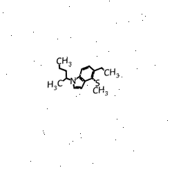 CCCC(C)n1ccc2c(SC)c(CC)ccc21